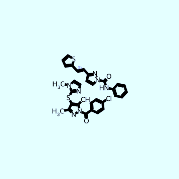 Cc1nn(C(=O)c2ccc(Cl)cc2)c(C)c1Sc1nccn1C.O=C(Nc1ccccc1)n1ccc(/C=C/c2cccs2)n1